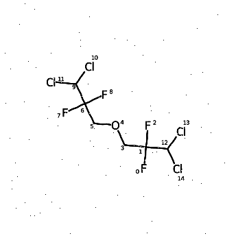 FC(F)(COCC(F)(F)C(Cl)Cl)C(Cl)Cl